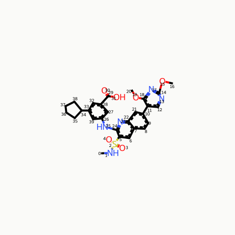 CNS(=O)(=O)c1cc2ccc(-c3cnc(OC)nc3OC)cc2nc1Nc1cc(C(=O)O)cc(C2CCCC2)c1